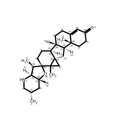 C[C@@H]1CN[C@H]2[C@@H](C)[C@@]3(CC[C@H]4[C@@H]5CCC6=CC(=O)CC[C@]6(C)[C@H]5C[C@@]45CC53C)O[C@@H]2C1